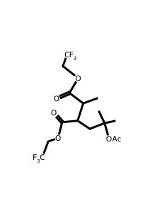 CC(=O)OC(C)(C)CC(C(=O)OCC(F)(F)F)C(C)C(=O)OCC(F)(F)F